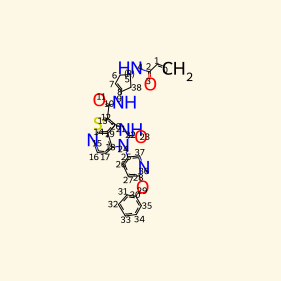 C=CC(=O)N[C@@H]1CC=C(NC(=O)c2sc3nccc4c3c2NC(=O)N4c2ccc(Oc3ccccc3)nc2)C1